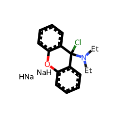 CCN(CC)C1(Cl)c2ccccc2Oc2ccccc21.[NaH].[NaH]